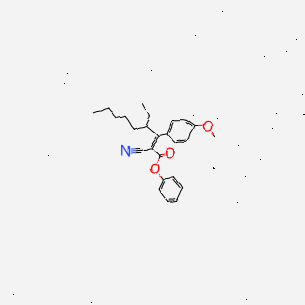 CCCCCC(CC)C(=C(C#N)C(=O)Oc1ccccc1)c1ccc(OC)cc1